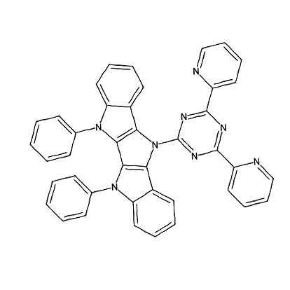 c1ccc(-n2c3ccccc3c3c2c2c(c4ccccc4n2-c2ccccc2)n3-c2nc(-c3ccccn3)nc(-c3ccccn3)n2)cc1